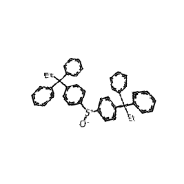 CCC(c1ccccc1)(c1ccccc1)c1ccc([S+]([O-])c2ccc(C(CC)(c3ccccc3)c3ccccc3)cc2)cc1